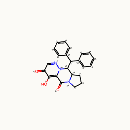 O=C1c2c(O)c(=O)cnn2C(C(c2ccccc2)c2ccccc2)C2CCCN12